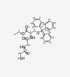 CCOC(=O)C(CSC(c1ccccc1)(c1ccccc1)c1ccccc1)NC(=O)CNC(=O)CS